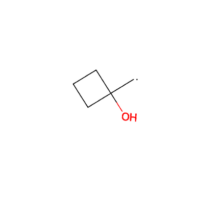 [CH2]C1(O)CCC1